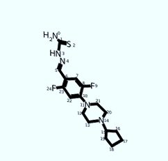 NC(=S)NN=Cc1cc(F)c(N2CCN(C3CCCC3)CC2)cc1F